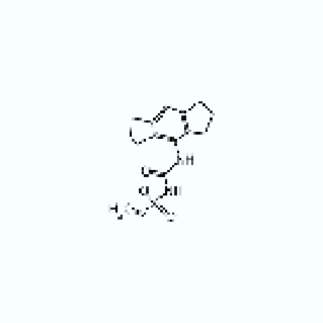 C=CS(=O)(=O)NC(=O)Nc1c2c(cc3c1CCC3)CCC2